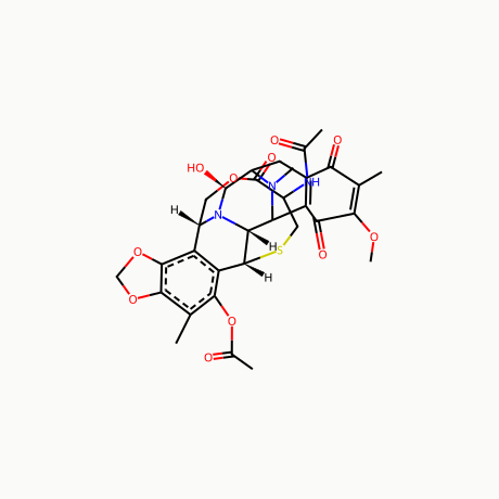 COC1=C(C)C(=O)C2=C(C1=O)C1[C@@H]3[C@@H]4SCC(NC(C)=O)C(=O)OC[C@@H](c5c6c(c(C)c(OC(C)=O)c54)OCO6)N3[C@@H](O)C(C2)N1C